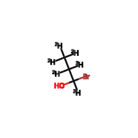 [2H]C([2H])([2H])C([2H])([2H])C([2H])(O)Br